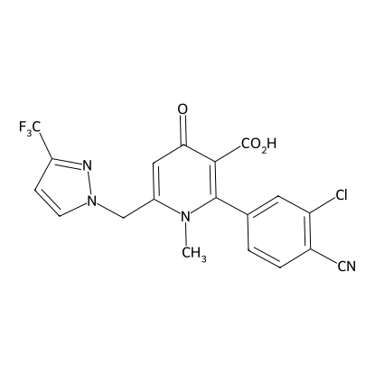 Cn1c(Cn2ccc(C(F)(F)F)n2)cc(=O)c(C(=O)O)c1-c1ccc(C#N)c(Cl)c1